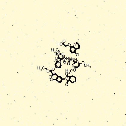 CCOC(=O)/C(Cl)=C/c1cc(N2C(=O)C3=C(CCCC3)C2=O)ccc1Cl.CCS(=O)(=O)c1nc2ccccn2c1S(=O)(=O)NC(=O)Nc1nc(OC)cc(OC)n1.O=C(O)COc1ccc(Cl)c2cccnc12